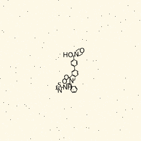 O=C(Nc1nccs1)[C@@H](c1ccccc1)N1Cc2ccc(-c3ccc(C(O)N4CCOCC4)cc3)cc2C1=O